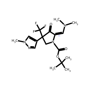 CN(C)/C=C1\C(=O)C(c2cnn(C)c2)(C(F)(F)F)CN1C(=O)OC(C)(C)C